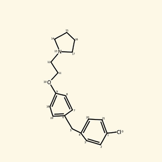 Clc1ccc(Cc2ccc(OCCN3CCCC3)cc2)cc1